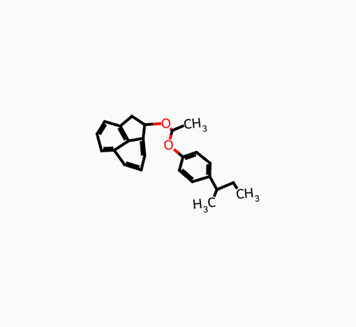 CCC(C)c1ccc(OC(C)OC2Cc3cccc4cccc2c34)cc1